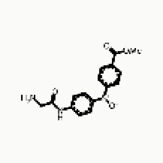 COC(=O)c1ccc([S+]([O-])c2ccc(NC(=O)CN)cc2)cc1